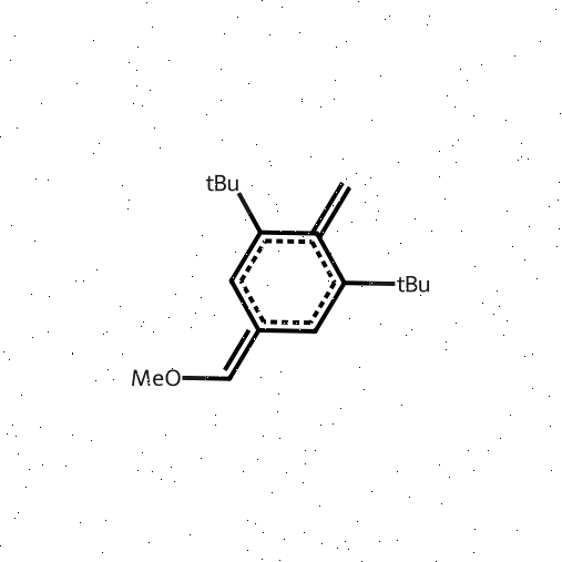 C=c1c(C(C)(C)C)cc(=COC)cc1C(C)(C)C